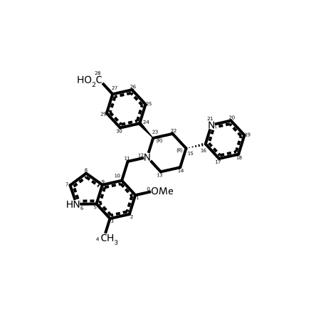 COc1cc(C)c2[nH]ccc2c1CN1CC[C@@H](c2ccccn2)C[C@@H]1c1ccc(C(=O)O)cc1